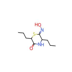 CCCC1NC(=O)C(CCC)SC1=NO